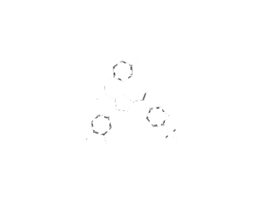 C[C@@H](Oc1ccc(Cl)cn1)C1CN(C(=O)c2ccc(S(C)(=O)=O)nc2)C[C@H]1c1ccc(Cl)c(Cl)c1